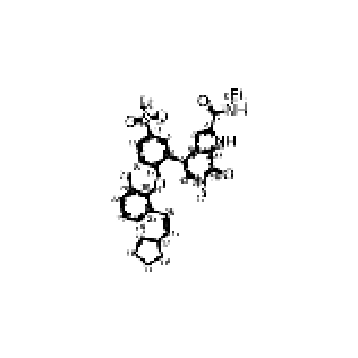 CCNC(=O)c1cc2c(-c3cc(S(=O)(=O)CC)ccc3Oc3c(C)cccc3/C=C\C3CCCC3)cn(C)c(=O)c2[nH]1